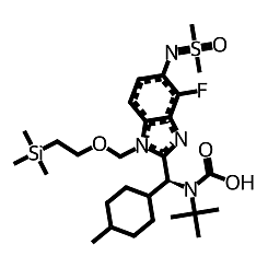 CC1CCC([C@@H](c2nc3c(F)c(N=S(C)(C)=O)ccc3n2COCC[Si](C)(C)C)N(C(=O)O)C(C)(C)C)CC1